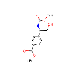 CCCOC(=O)c1ccc(C(CO)NC(=O)OC(C)(C)C)cc1